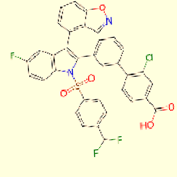 O=C(O)c1ccc(-c2cccc(-c3c(-c4cccc5oncc45)c4cc(F)ccc4n3S(=O)(=O)c3ccc(C(F)F)cc3)c2)c(Cl)c1